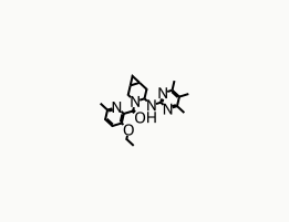 CCOc1ccc(C)nc1C(=O)N1CC2CC2CC1Nc1nc(C)c(C)c(C)n1